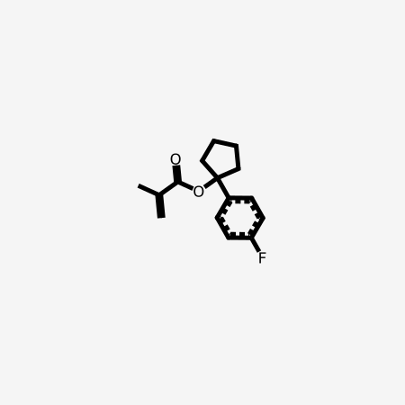 C=C(C)C(=O)OC1(c2ccc(F)cc2)CCCC1